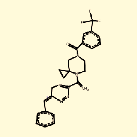 C=C(C1=NC/C(=C/c2ccccc2)N=N1)N1CCN(C(=O)c2cccc(C(F)(F)F)c2)CC12CC2